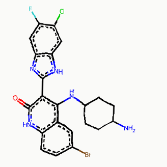 NC1CCC(Nc2c(-c3nc4cc(F)c(Cl)cc4[nH]3)c(=O)[nH]c3ccc(Br)cc23)CC1